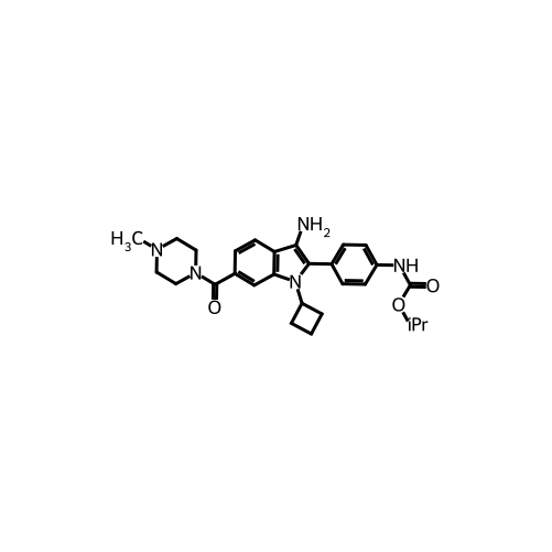 CC(C)OC(=O)Nc1ccc(-c2c(N)c3ccc(C(=O)N4CCN(C)CC4)cc3n2C2CCC2)cc1